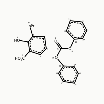 CCCc1cccc(C(=O)O)c1O.O=C(Oc1ccccc1)Oc1ccccc1